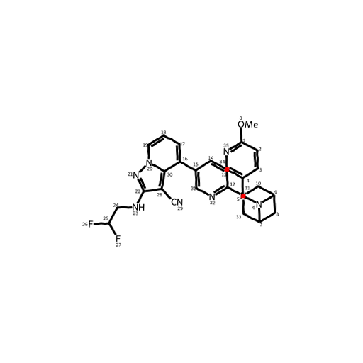 COc1ccc(CN2C3CC2CN(c2ccc(-c4cccn5nc(NCC(F)F)c(C#N)c45)cn2)C3)cn1